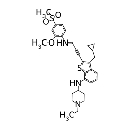 CCN1CCC(Nc2cccc3c(CC4CC4)c(C#CCNc4ccc(S(C)(=O)=O)cc4OC)sc23)CC1